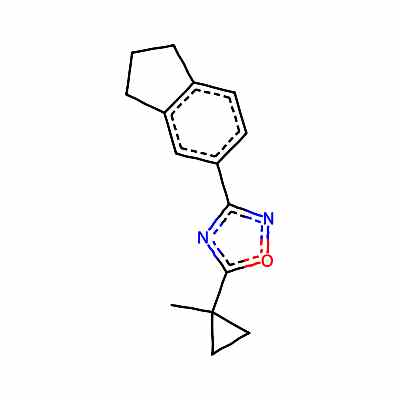 CC1(c2nc(-c3ccc4c(c3)CCC4)no2)CC1